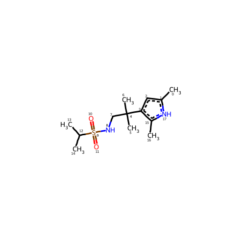 Cc1cc(C(C)(C)CNS(=O)(=O)C(C)C)c(C)[nH]1